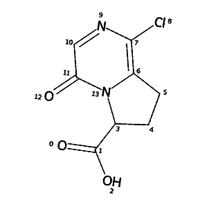 O=C(O)C1CCc2c(Cl)ncc(=O)n21